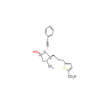 O=C(O)c1ccc(CCC[C@H]2C(C(F)(F)F)C[C@@H](O)[C@@H]2C#Cc2ccccc2)s1